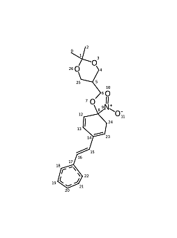 CC1(C)OCC(COC2([N+](=O)[O-])C=CC(C=Cc3ccccc3)=CC2)CO1